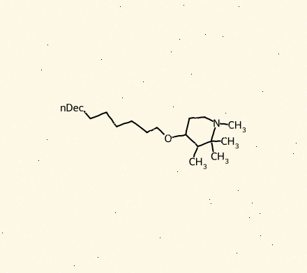 CCCCCCCCCCCCCCCCOC1CCN(C)C(C)(C)C1C